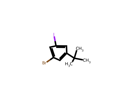 CC(C)(C)c1cc(Br)cc(I)c1